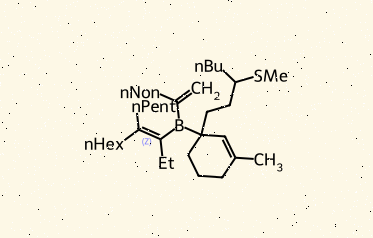 C=C(CCCCCCCCC)B(/C(CC)=C(\CCCCC)CCCCCC)C1(CCC(CCCC)SC)C=C(C)CCC1